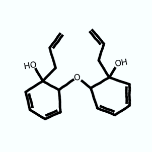 C=CCC1(O)C=CC=CC1OC1C=CC=CC1(O)CC=C